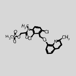 Cc1ccc2cccc(OCc3c(Cl)ccc(N(C)C(=O)COS(C)(=O)=O)c3Cl)c2n1